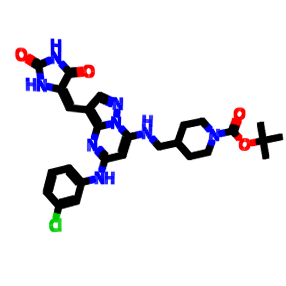 CC(C)(C)OC(=O)N1CCC(CNc2cc(Nc3cccc(Cl)c3)nc3c(C=C4NC(=O)NC4=O)cnn23)CC1